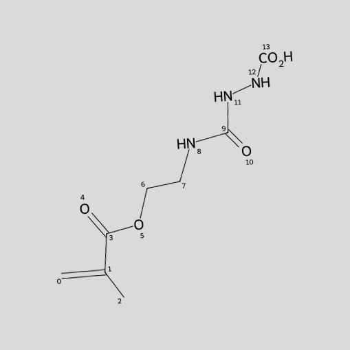 C=C(C)C(=O)OCCNC(=O)NNC(=O)O